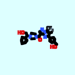 Cc1c(-c2ccc(CO)cc2)nc2c(C(=O)N3CCN(C(CO)c4ccccc4)CC3)cnn2c1C(F)(F)F